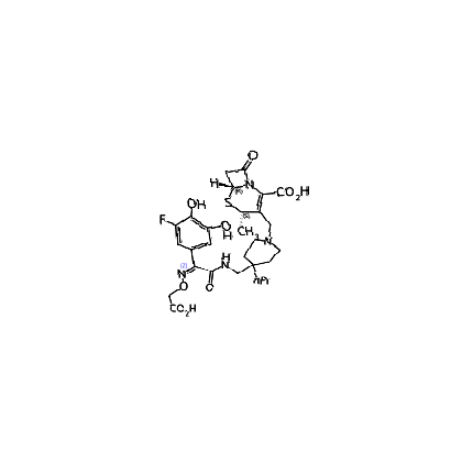 CCCC1(CNC(=O)/C(=N\OCC(=O)O)c2cc(O)c(O)c(F)c2)CCN(CC2=C(C(=O)O)N3C(=O)C[C@H]3S[C@H]2C)CC1